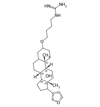 C[C@]12CCC(OCCCCNC(=N)N)CC1CC[C@@H]1[C@H]2CC[C@]2(C)C(c3ccoc3)CC[C@@]12O